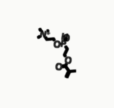 C=C(C)C(=O)OCC[PH](=O)OCC[N+](C)(C)C